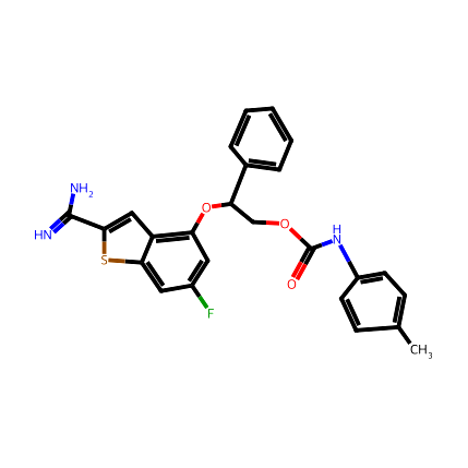 Cc1ccc(NC(=O)OCC(Oc2cc(F)cc3sc(C(=N)N)cc23)c2ccccc2)cc1